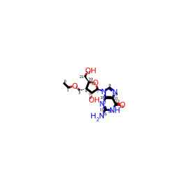 CCOC[C@H]1[C@@H](O)[C@H](n2cnc3c(=O)[nH]c(N)nc32)O[C@@H]1CO